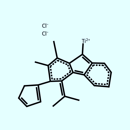 CC(C)=c1c(C2=CC=CC2)c(C)c(C)c2c1=c1ccccc1=[C]2[Ti+2].[Cl-].[Cl-]